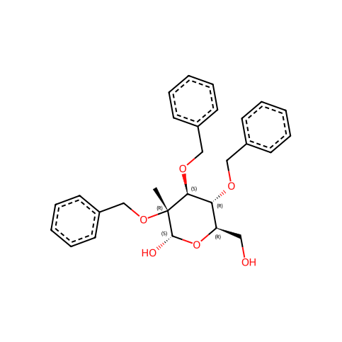 C[C@]1(OCc2ccccc2)[C@@H](O)O[C@H](CO)[C@@H](OCc2ccccc2)[C@@H]1OCc1ccccc1